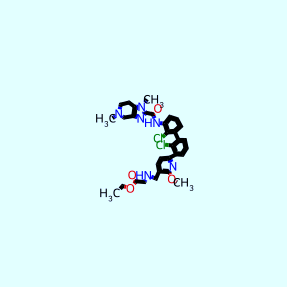 CCOC(=O)CNCc1ccc(-c2cccc(-c3cccc(NC(=O)c4nc5c(n4C)CCN(C)C5)c3Cl)c2Cl)nc1OC